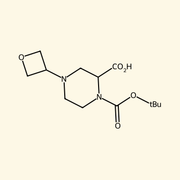 CC(C)(C)OC(=O)N1CCN(C2COC2)CC1C(=O)O